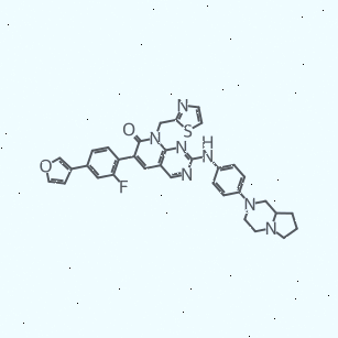 O=c1c(-c2ccc(-c3ccoc3)cc2F)cc2cnc(Nc3ccc(N4CCN5CCCC5C4)cc3)nc2n1Cc1nccs1